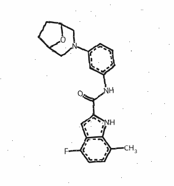 Cc1ccc(F)c2cc(C(=O)Nc3cccc(N4CC5CCC(C4)O5)c3)[nH]c12